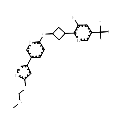 COCOc1cc(-c2ccc(OC3CC(c4ncc(C(F)(F)F)cc4F)C3)nc2)on1